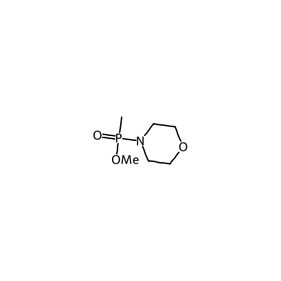 COP(C)(=O)N1CCOCC1